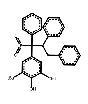 CC(C)(C)c1cc(C(c2ccccc2)(C(Cc2ccccc2)c2ccccc2)P(=O)=O)cc(C(C)(C)C)c1O